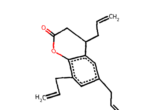 C=CCc1cc(CC=C)c2c(c1)C(CC=C)CC(=O)O2